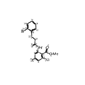 COC(=O)c1c(Cl)cc(Cl)cc1NC(=O)CSc1ccccc1Br